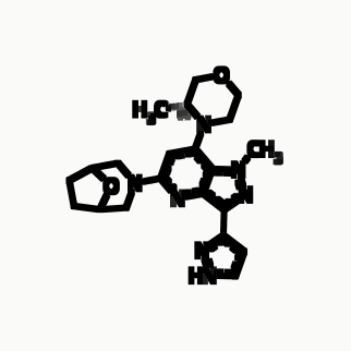 C[C@@H]1COCCN1c1cc(N2CC3CCC(C2)O3)nc2c(-c3cc[nH]n3)nn(C)c12